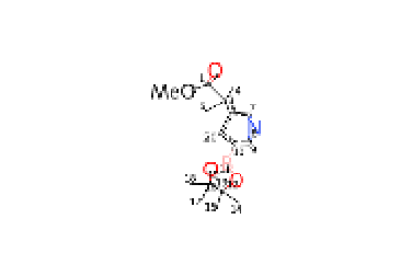 COC(=O)C(C)(C)c1cncc(B2OC(C)(C)C(C)(C)O2)c1